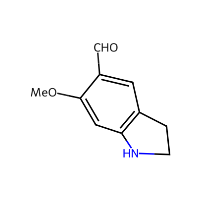 COc1cc2c(cc1C=O)CCN2